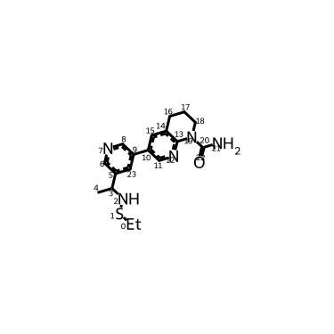 CCSNC(C)c1cncc(-c2cnc3c(c2)CCCN3C(N)=O)c1